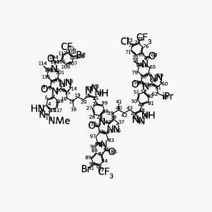 CNc1n[nH]c2cc(-n3c(=O)c4c(n5ncc(CC(C)CCc6nn[nH]c6-c6ccc(-n7c(=O)c8c(n9ncc(CC(C)CCc%10nn[nH]c%10-c%10ccc(-n%11c(=O)c%12c(n%13ncc(CC(C)C)c%11%13)CN(C(=O)c%11ccc(Cl)c(C(F)(F)F)c%11)[C@H](C)C%12)cc%10)c79)CN(C(=O)c7ccc(Br)c(C(F)(F)F)c7)[C@H](C)C8)cc6)c35)CN(C(=O)c3ccc(Br)c(C(F)(F)F)c3)[C@H](C)C4)ccc12